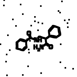 NC(=O)C(CNC(=O)c1ccccc1)c1ccccc1